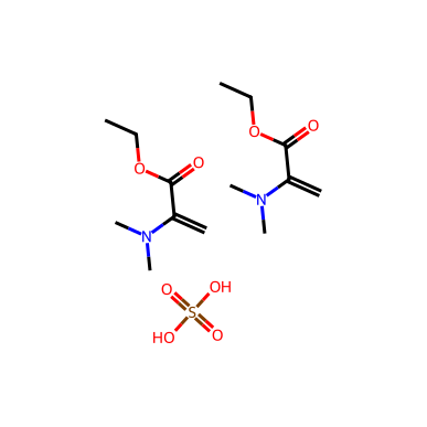 C=C(C(=O)OCC)N(C)C.C=C(C(=O)OCC)N(C)C.O=S(=O)(O)O